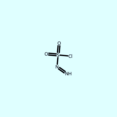 N=NS(=O)(=O)Cl